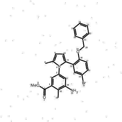 COC(=O)c1cc(-n2c(C)ccc2-c2cc(Br)ccc2OCc2ccccc2)cc(N)c1C